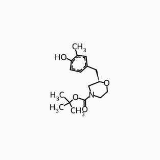 Cc1cc(C[C@@H]2CN(C(=O)OC(C)(C)C)CCO2)ccc1O